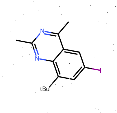 Cc1nc(C)c2cc(I)cc(C(C)(C)C)c2n1